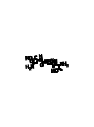 CC(O)C(N)c1nnc(CNC(=O)N[C@@H](CC(N)=O)C(=O)O)s1